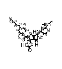 CC(=O)O.CCNc1ncc(F)c(Nc2n[nH]c3c2CN(C(=O)N2C[C@@H](C)N(CCCOC)C[C@@H]2C)C3(C)C)n1